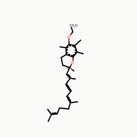 CC(C)=CCC/C(C)=C/C=C/C(C)=C/[C@]1(C)CCc2c(C)c(OCC(=O)O)c(C)c(C)c2O1